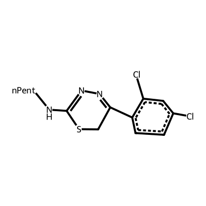 CCCCCNC1=NN=C(c2ccc(Cl)cc2Cl)CS1